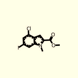 COC(=O)c1cc2c(Cl)cc(I)cc2n1C